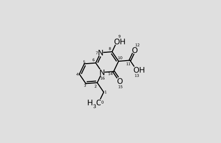 CCc1cccc2nc(O)c(C(=O)O)c(=O)n12